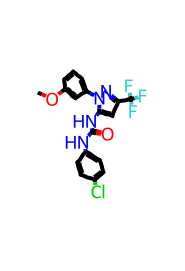 COc1cccc(-n2nc(C(F)(F)F)cc2NC(=O)Nc2ccc(Cl)cc2)c1